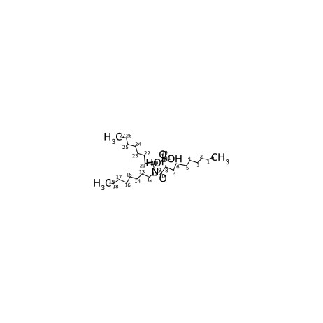 CCCCCCCCC(C(=O)N(CCCCCCCC)CCCCCCCC)P(=O)(O)O